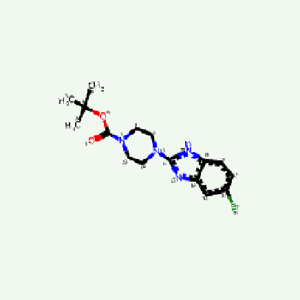 CC(C)(C)OC(=O)N1CCN(c2nc3cc(Br)ccc3[nH]2)CC1